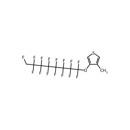 Cc1cscc1OC(F)(F)C(F)(F)C(F)(F)C(F)(F)C(F)(F)C(F)(F)C(F)(F)CF